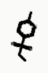 CCS(=O)(=O)c1ccc(C)nc1